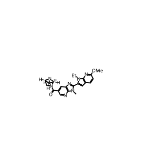 CCn1c(-c2nc3cc(C(=O)N4C[C@H]5[C@H]6[C@@H]4N65)cnc3n2C)cc2ccc(OC)nc21